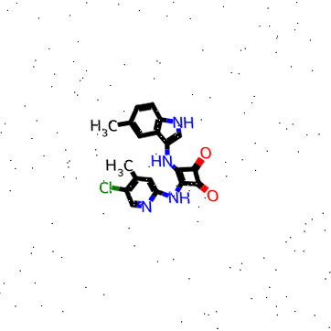 Cc1ccc2[nH]cc(Nc3c(Nc4cc(C)c(Cl)cn4)c(=O)c3=O)c2c1